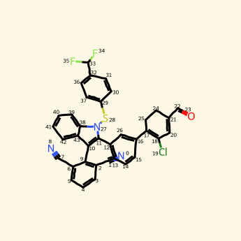 N#Cc1cccc(C#N)c1-c1c(-c2cccc(C3=C(Cl)C=C(C=O)CC3)c2)n(Sc2ccc(C(F)F)cc2)c2ccccc12